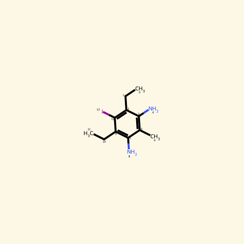 CCc1c(N)c(C)c(N)c(CC)c1I